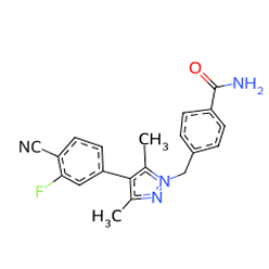 Cc1nn(Cc2ccc(C(N)=O)cc2)c(C)c1-c1ccc(C#N)c(F)c1